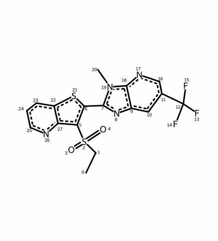 CCS(=O)(=O)c1c(-c2nc3cc(C(F)(F)F)cnc3n2C)sc2cccnc12